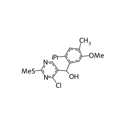 COc1cc(C(O)c2cnc(SC)nc2Cl)c(C(C)C)cc1C